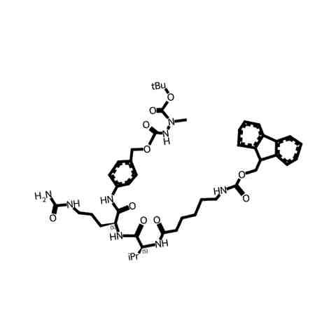 CC(C)[C@H](NC(=O)CCCCCNC(=O)OCC1c2ccccc2-c2ccccc21)C(=O)N[C@@H](CCCNC(N)=O)C(=O)Nc1ccc(COC(=O)NN(C)C(=O)OC(C)(C)C)cc1